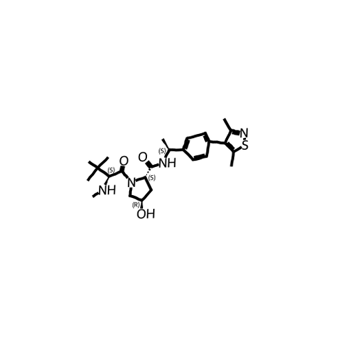 CN[C@H](C(=O)N1C[C@H](O)C[C@H]1C(=O)N[C@@H](C)c1ccc(-c2c(C)nsc2C)cc1)C(C)(C)C